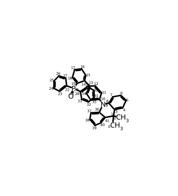 CC1(C)c2ccccc2N(c2ccc(-c3ccccc3P(=O)(c3ccccc3)c3ccccc3)cc2)c2ccccc21